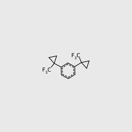 FC(F)(F)C1(c2cccc(C3(C(F)(F)F)CC3)c2)CC1